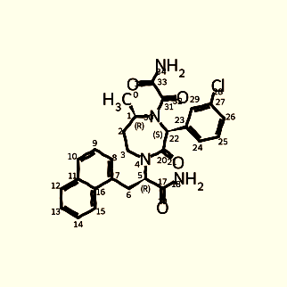 C[C@@H]1CCN([C@H](Cc2cccc3ccccc23)C(N)=O)C(=O)[C@H](c2cccc(Cl)c2)N1C(=O)C(N)=O